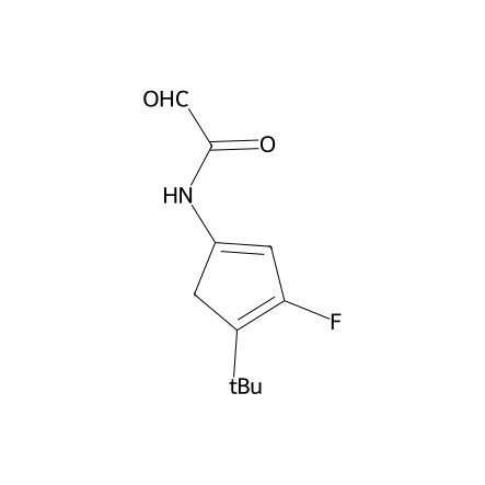 CC(C)(C)C1=C(F)C=C(NC(=O)C=O)C1